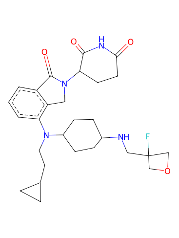 O=C1CCC(N2Cc3c(cccc3N(CCC3CC3)C3CCC(NCC4(F)COC4)CC3)C2=O)C(=O)N1